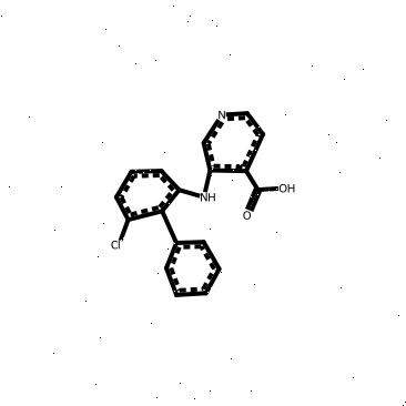 O=C(O)c1ccncc1Nc1cccc(Cl)c1-c1ccccc1